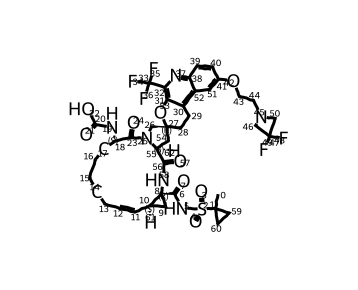 CC1(S(=O)(=O)NC(=O)[C@@]23C[C@H]2C=CCCCCC[C@H](NC(=O)O)C(=O)N2C[C@@]4(CCc5c(c(C(F)(F)F)nc6ccc(OCCN7CC(F)(F)C7)cc56)O4)C[C@H]2C(=O)N3)CC1